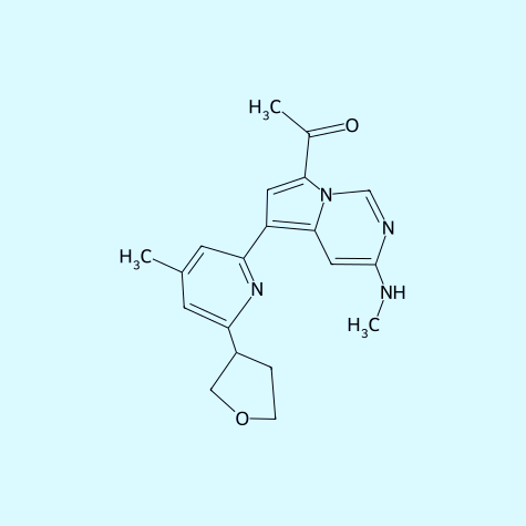 CNc1cc2c(-c3cc(C)cc(C4CCOC4)n3)cc(C(C)=O)n2cn1